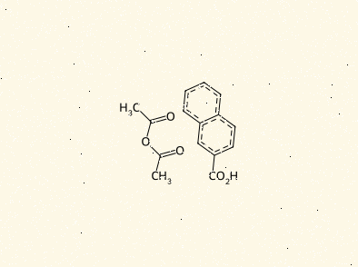 CC(=O)OC(C)=O.O=C(O)c1ccc2ccccc2c1